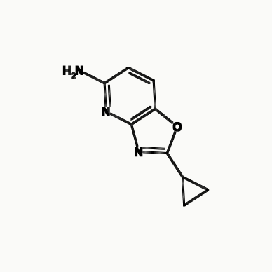 Nc1ccc2oc(C3CC3)nc2n1